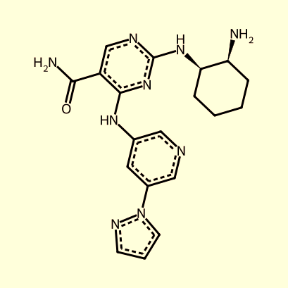 NC(=O)c1cnc(N[C@@H]2CCCC[C@@H]2N)nc1Nc1cncc(-n2cccn2)c1